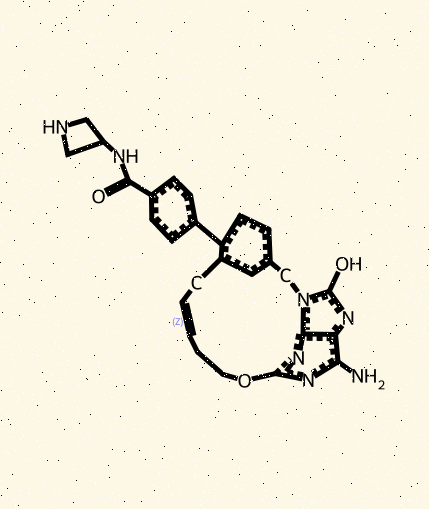 Nc1nc2nc3c1nc(O)n3Cc1ccc(-c3ccc(C(=O)NC4CNC4)cc3)c(c1)C/C=C\CCO2